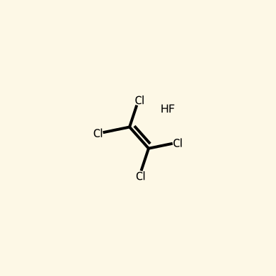 ClC(Cl)=C(Cl)Cl.F